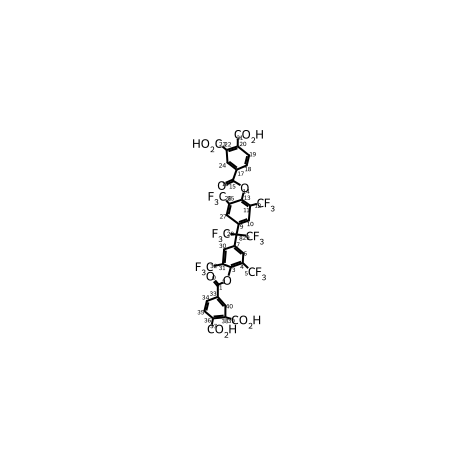 O=C(Oc1c(C(F)(F)F)cc(C(c2cc(C(F)(F)F)c(OC(=O)c3ccc(C(=O)O)c(C(=O)O)c3)c(C(F)(F)F)c2)(C(F)(F)F)C(F)(F)F)cc1C(F)(F)F)c1ccc(C(=O)O)c(C(=O)O)c1